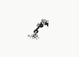 C#CC1(COc2ccc3c(CCC4CCN(C(=O)OC(C)(C)C)CC4)noc3c2CN(C)C)CC1